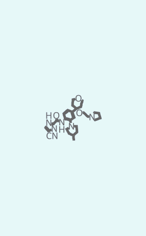 CC1CCN(c2cc(C3(OCCN4CCCC4)CCOCC3)ccc2NC(=O)c2nc(C#N)c[nH]2)CC1